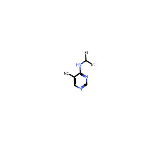 CCC(CC)Nc1ncncc1C#N